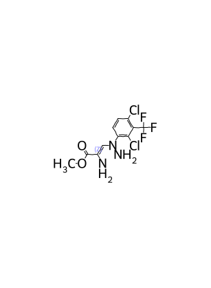 COC(=O)/C(N)=C/N(N)c1ccc(Cl)c(C(F)(F)F)c1Cl